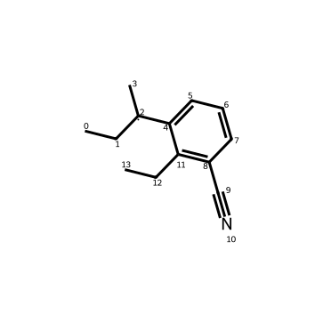 CC[C](C)c1cccc(C#N)c1CC